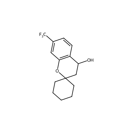 OC1CC2(CCCCC2)Oc2cc(C(F)(F)F)ccc21